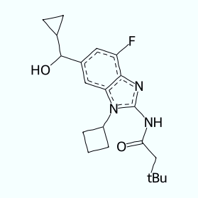 CC(C)(C)CC(=O)Nc1nc2c(F)cc(C(O)C3CC3)cc2n1C1CCC1